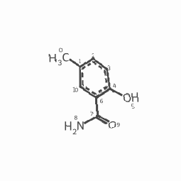 Cc1ccc(O)c(C(N)=O)c1